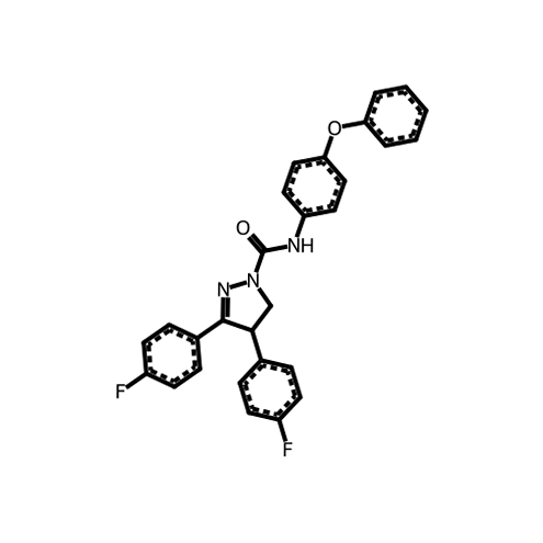 O=C(Nc1ccc(Oc2ccccc2)cc1)N1CC(c2ccc(F)cc2)C(c2ccc(F)cc2)=N1